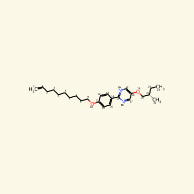 C=CCCCCCCCCOc1ccc(-c2ncc(OC[C@@H](C)CC)cn2)cc1